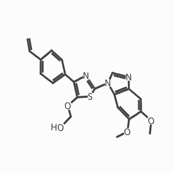 C=Cc1ccc(-c2nc(-n3cnc4cc(OC)c(OC)cc43)sc2OCO)cc1